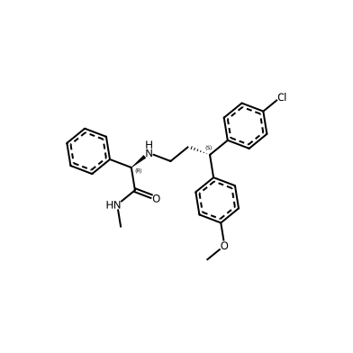 CNC(=O)[C@H](NCC[C@H](c1ccc(Cl)cc1)c1ccc(OC)cc1)c1ccccc1